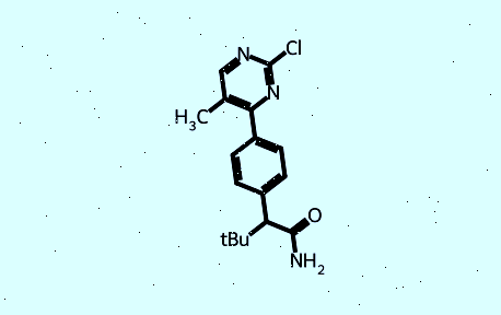 Cc1cnc(Cl)nc1-c1ccc(C(C(N)=O)C(C)(C)C)cc1